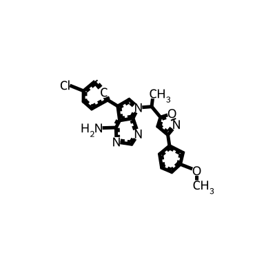 COc1cccc(-c2cc(C(C)n3cc(-c4ccc(Cl)cc4)c4c(N)ncnc43)on2)c1